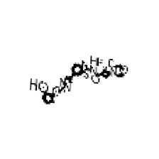 O=C(Nc1nc2ccc(-c3cnc(CO[C@H]4CCC[C@@H]4O)nc3)cc2s1)C1CC(N2CCOC[C@@H]2C(F)(F)F)C1